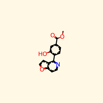 COC(=O)c1ccc(-c2nccc3occc23)c(O)c1